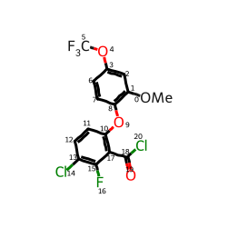 COc1cc(OC(F)(F)F)ccc1Oc1ccc(Cl)c(F)c1C(=O)Cl